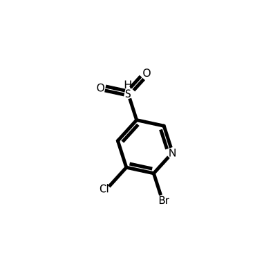 O=[SH](=O)c1cnc(Br)c(Cl)c1